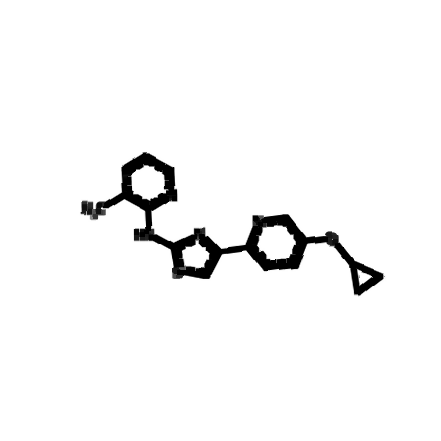 Cc1cccnc1Nc1nc(-c2ccc(OC3CC3)cn2)cs1